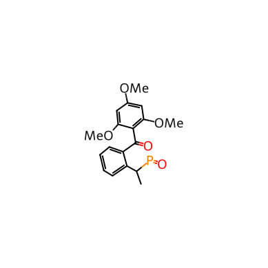 COc1cc(OC)c(C(=O)c2ccccc2C(C)P=O)c(OC)c1